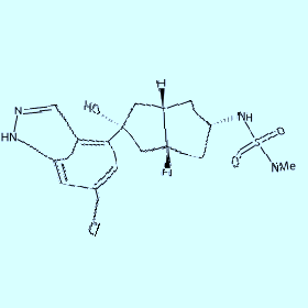 CNS(=O)(=O)N[C@@H]1C[C@@H]2C[C@@](O)(c3cc(Cl)cc4[nH]ncc34)C[C@@H]2C1